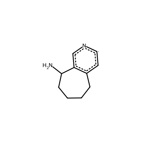 NC1CCCCc2c[c]ncc21